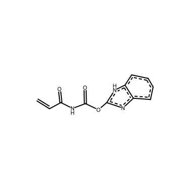 C=CC(=O)NC(=O)Oc1nc2ccccc2[nH]1